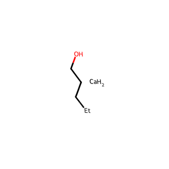 CCCCCO.[CaH2]